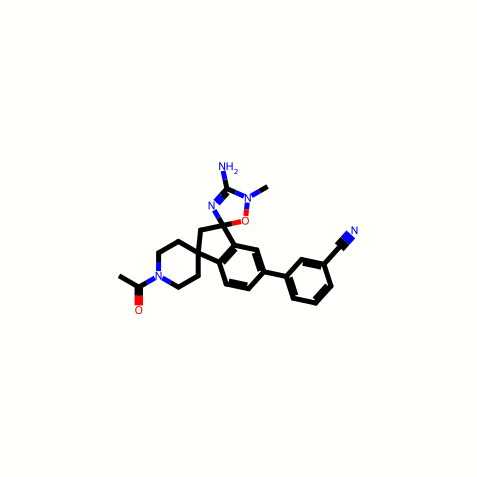 CC(=O)N1CCC2(CC1)CC1(N=C(N)N(C)O1)c1cc(-c3cccc(C#N)c3)ccc12